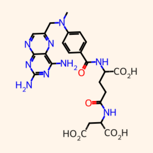 CN(Cc1cnc2nc(N)nc(N)c2n1)c1ccc(C(=O)NC(CCC(=O)NC(CC(=O)O)C(=O)O)C(=O)O)cc1